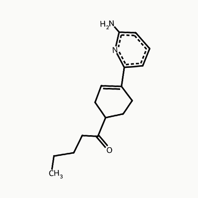 CCCCC(=O)C1CC=C(c2cccc(N)n2)CC1